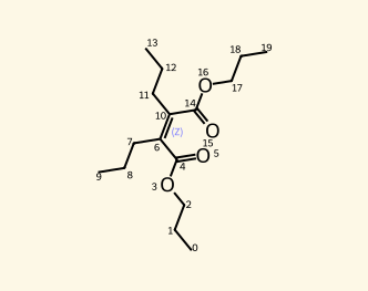 CCCOC(=O)/C(CCC)=C(/CCC)C(=O)OCCC